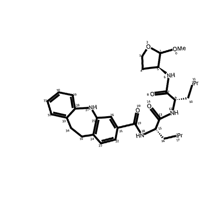 COC1OCC[C@@H]1NC(=O)[C@H](CC(C)C)NC(=O)[C@H](CC(C)C)NC(=O)c1ccc2c(c1)Nc1ccccc1CC2